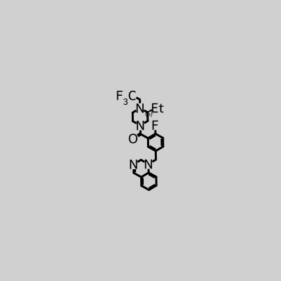 CC[C@H]1CN(C(=O)c2cc(CN3CN=Cc4ccccc43)ccc2F)CCN1CC(F)(F)F